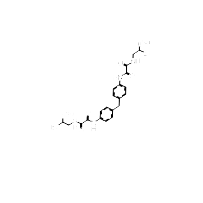 CCCCC(CC)CNC(=O)C(=O)Nc1ccc(Cc2ccc(NC(=O)C(=O)NCC(CC)CCCC)cc2)cc1